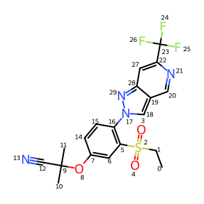 CCS(=O)(=O)c1cc(OC(C)(C)C#N)ccc1-n1cc2cnc(C(F)(F)F)cc2n1